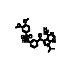 COc1ccc(S(=O)(=O)Nc2cccc(C(=O)c3cn(C(C)C)c4ncnc(N)c34)c2)cc1OC